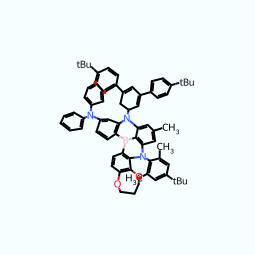 Cc1cc2c3c(c1)N(C1C=C(c4ccc(C(C)(C)C)cc4)C=C(c4ccc(C(C)(C)C)cc4)C1)c1cc(N(c4ccccc4)c4ccccc4)ccc1B3c1ccc3c(c1N2c1c(C)cc(C(C)(C)C)cc1C)OCCCO3